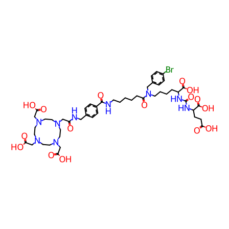 O=C(O)CCC(NC(=O)NC(CCCCN(Cc1ccc(Br)cc1)C(=O)CCCCCNC(=O)c1ccc(CNC(=O)CN2CCN(CC(=O)O)CCN(CC(=O)O)CCN(CC(=O)O)CC2)cc1)C(=O)O)C(=O)O